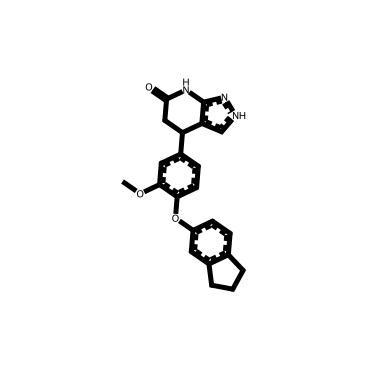 COc1cc(C2CC(=O)Nc3n[nH]cc32)ccc1Oc1ccc2c(c1)CCC2